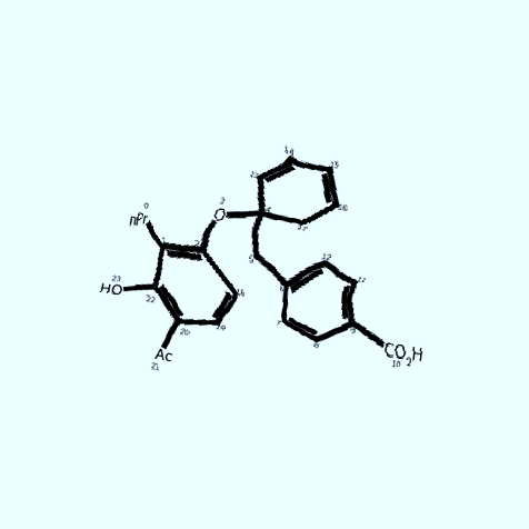 CCCc1c(OC2(Cc3ccc(C(=O)O)cc3)C=CC=CC2)ccc(C(C)=O)c1O